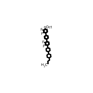 C=CCCC1CCC(C2CC=C(c3ccc(-c4ccc(-c5ccc(CCCCCCCC)c(F)c5F)cc4)c(F)c3F)CC2)CC1